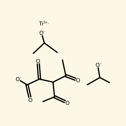 CC(=O)C(C(C)=O)C(=O)C(=O)[O-].CC(C)[O-].CC(C)[O-].[Ti+3]